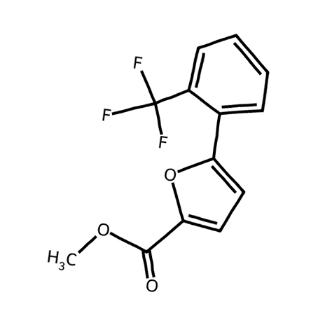 COC(=O)c1ccc(-c2ccccc2C(F)(F)F)o1